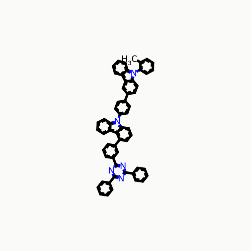 Cc1ccccc1-n1c2ccccc2c2cc(-c3ccc(-n4c5ccccc5c5c(-c6cccc(-c7nc(-c8ccccc8)nc(-c8ccccc8)n7)c6)cccc54)cc3)ccc21